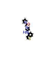 O=C(CN1CCC(Nc2cccc3sccc23)C1)N1CCCC1